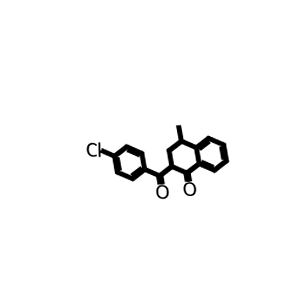 CC1CC(C(=O)c2ccc(Cl)cc2)C(=O)c2ccccc21